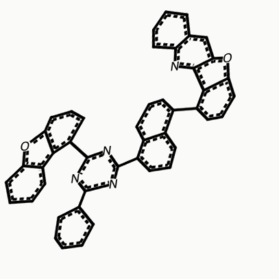 c1ccc(-c2nc(-c3cccc4c(-c5cccc6oc7cc8ccccc8nc7c56)cccc34)nc(-c3cccc4oc5ccccc5c34)n2)cc1